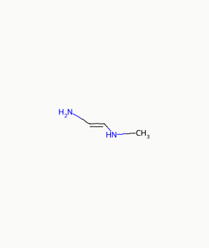 CNC=CN